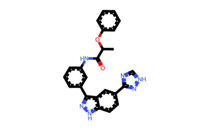 CC(Oc1ccccc1)C(=O)Nc1cccc(-c2n[nH]c3ccc(-c4nc[nH]n4)cc23)c1